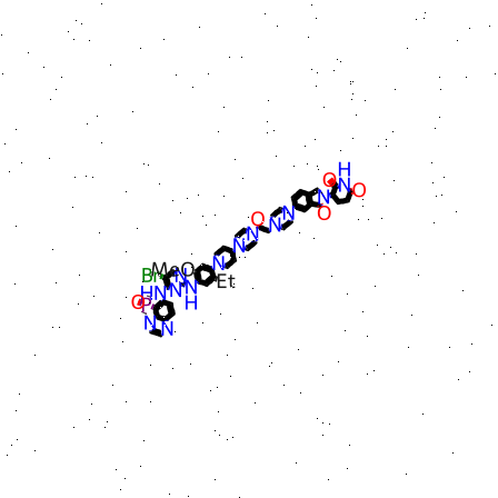 CCc1cc(Nc2ncc(Br)c(Nc3ccc4nccnc4c3P(C)(C)=O)n2)c(OC)cc1N1CCC(N2CCN(C(=O)CN3CCN(c4ccc5c(c4)C(=O)N(C4CCC(=O)NC4=O)C5)CC3)CC2)CC1